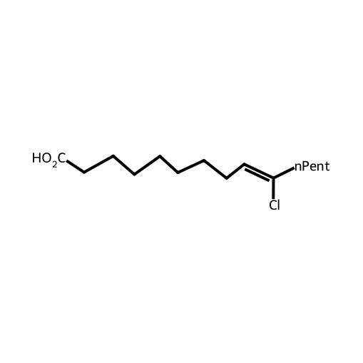 CCCCCC(Cl)=CCCCCCCCC(=O)O